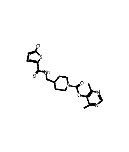 Cc1ncnc(C)c1OC(=O)N1CCC(CNC(=O)c2ccc(Cl)s2)CC1